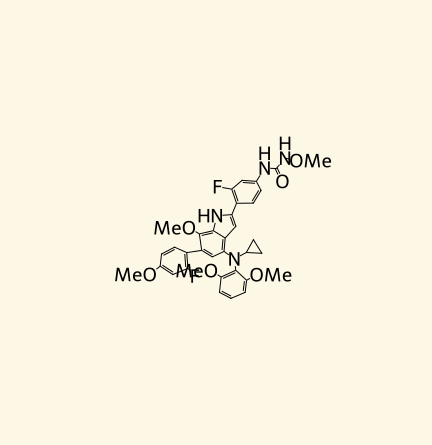 CONC(=O)Nc1ccc(-c2cc3c(N(c4c(OC)cccc4OC)C4CC4)cc(-c4ccc(OC)cc4F)c(OC)c3[nH]2)c(F)c1